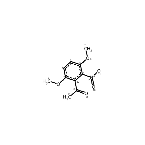 COc1ccc(OC)c([N+](=O)[O-])c1C(C)=O